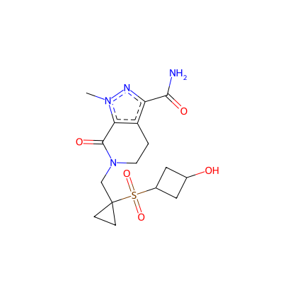 Cn1nc(C(N)=O)c2c1C(=O)N(CC1(S(=O)(=O)C3CC(O)C3)CC1)CC2